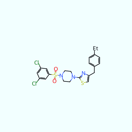 CCc1ccc(Cc2csc(N3CCN(S(=O)(=O)c4cc(Cl)cc(Cl)c4)CC3)n2)cc1